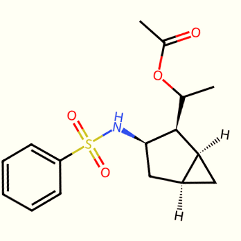 CC(=O)OC(C)[C@H]1[C@H]2C[C@H]2C[C@H]1NS(=O)(=O)c1ccccc1